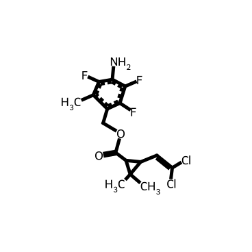 Cc1c(F)c(N)c(F)c(F)c1COC(=O)C1C(C=C(Cl)Cl)C1(C)C